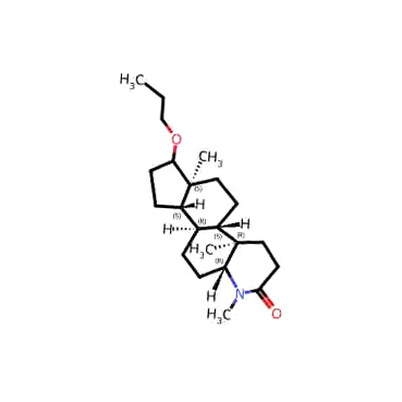 CCCOC1CC[C@H]2[C@@H]3CC[C@H]4N(C)C(=O)CC[C@]4(C)[C@H]3CC[C@]12C